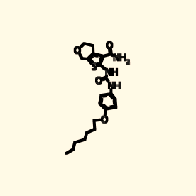 CCCCCCCOc1ccc(NC(=O)Nc2sc3c(c2C(N)=O)CCOC3)cc1